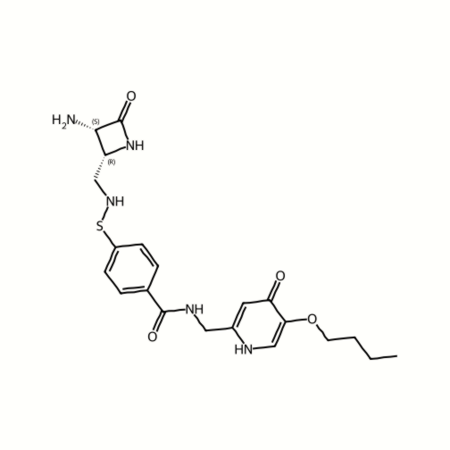 CCCCOc1c[nH]c(CNC(=O)c2ccc(SNC[C@H]3NC(=O)[C@H]3N)cc2)cc1=O